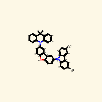 CC1(C)c2ccccc2N(c2ccc3oc4ccc(-n5c6ccc(C#N)cc6c6cc(C#N)ccc65)cc4c3c2)c2ccccc21